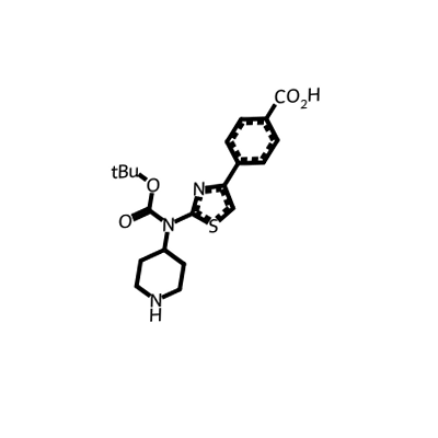 CC(C)(C)OC(=O)N(c1nc(-c2ccc(C(=O)O)cc2)cs1)C1CCNCC1